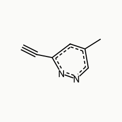 C#Cc1cc(C)cnn1